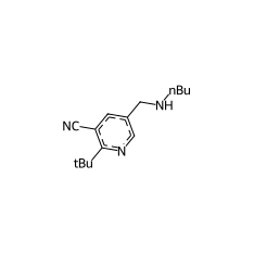 CCCCNCc1cnc(C(C)(C)C)c(C#N)c1